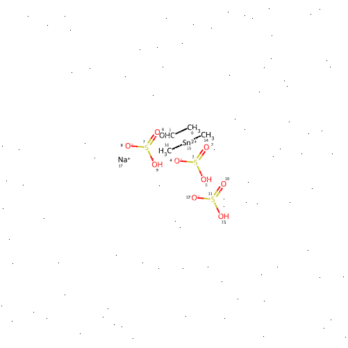 CC=O.O=S([O-])O.O=S([O-])O.O=S([O-])O.[CH3][Sn+2][CH3].[Na+]